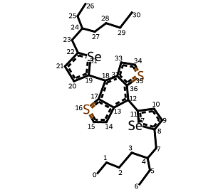 CCCCC(CC)Cc1ccc(-c2c3ccsc3c(-c3ccc(CC(CC)CCCC)[se]3)c3ccsc23)[se]1